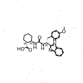 COc1ccc(C[C@@H](NC(=O)N[C@@H]2CCCC[C@H]2C(=O)O)c2nc3ccccc3[nH]2)cc1